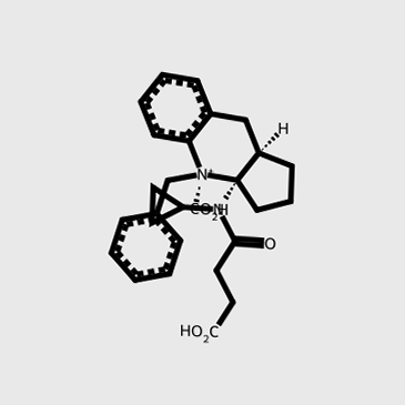 O=C(O)CCC(=O)N(C1CC1)[C@@]12CCC[C@@H]1Cc1ccccc1[N@@+]2(Cc1ccccc1)C(=O)O